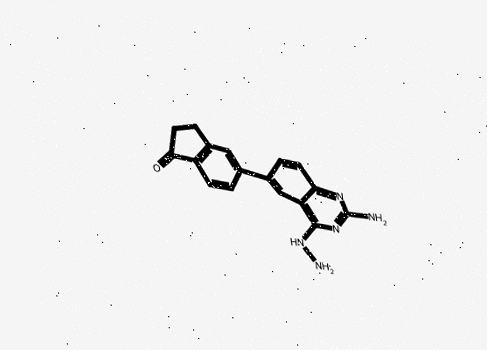 NNc1nc(N)nc2ccc(-c3ccc4c(c3)CCC4=O)cc12